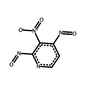 O=Nc1ccnc(N=O)c1[N+](=O)[O-]